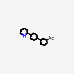 CC(=O)c1cccc(-c2ccc(-c3ccccn3)cc2)c1